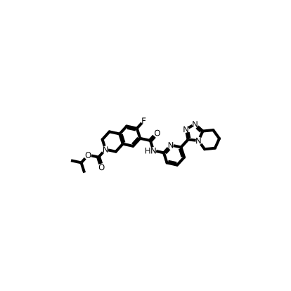 CC(C)OC(=O)N1CCc2cc(F)c(C(=O)Nc3cccc(-c4nnc5n4CCCC5)n3)cc2C1